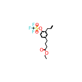 C=CCc1cc(CCCC(=O)OCC)ccc1OS(=O)(=O)C(F)(F)F